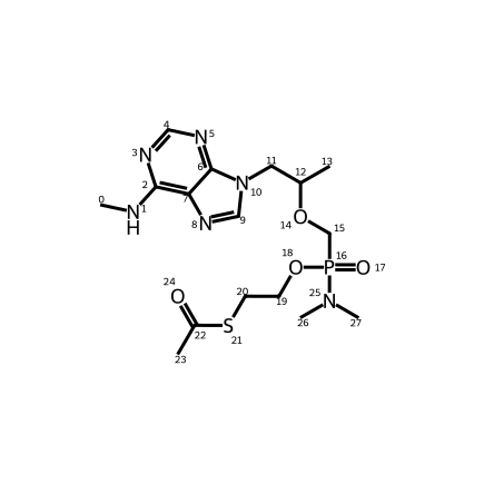 CNc1ncnc2c1ncn2CC(C)OCP(=O)(OCCSC(C)=O)N(C)C